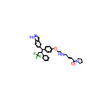 O=C(C=CCNCCOc1ccc(/C(=C(/CC(F)(F)F)c2ccccc2)c2ccc3[nH]ncc3c2)cc1)N1CCCC1